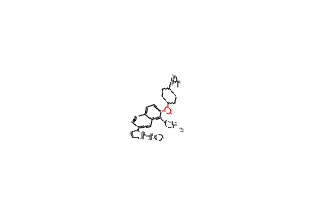 CC(C)[C@H]1CC[C@@H](Oc2ccc3ccc(C=O)cc3c2C(F)(F)F)CC1